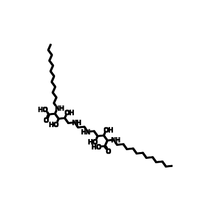 CCCCCCCCCCCCNC(C(=O)O)C(O)C(O)CNCCNCC(O)C(O)C(NCCCCCCCCCCCC)C(=O)O